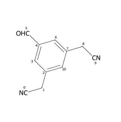 N#CCc1cc(C=O)cc(CC#N)c1